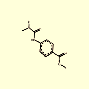 COC(=O)c1ccc(NC(=O)N(C)C)cc1